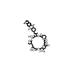 CCC1/C=C(\C)C(O)C(C)CC(OC)C2OC(O)(C(=O)C(=O)N3CCCCC3C(=O)OC(C(C)=CC3CCC(N(C)c4ccc5c(ccn5C)c4)C(OC)C3)C(C)C(O)CC1=O)C(C)CC2OC